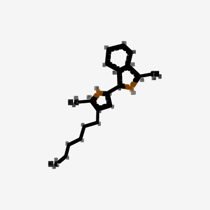 CCCCCCc1cc(-c2sc(C)c3ccccc23)sc1C